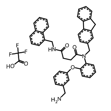 NCc1cccc(Oc2ccccc2N(Cc2ccc3c(c2)Cc2ccccc2-3)C(=O)CCC(=O)NCc2cccc3ccccc23)c1.O=C(O)C(F)(F)F